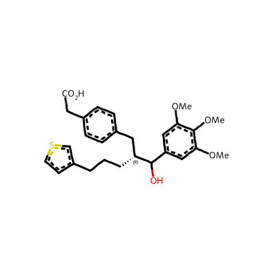 COc1cc(C(O)[C@H](CCCc2ccsc2)Cc2ccc(CC(=O)O)cc2)cc(OC)c1OC